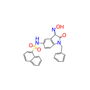 O=C1/C(=N\O)c2cc(NS(=O)(=O)c3cccc4ccccc34)ccc2N1Cc1ccccc1